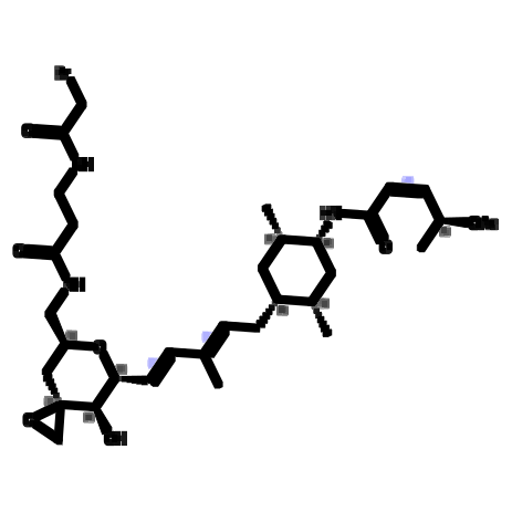 CC(=O)O[C@@H](C)/C=C\C(=O)N[C@@H]1C[C@H](C)[C@H](C/C=C(C)/C=C/[C@H]2O[C@H](CNC(=O)CCNC(=O)CBr)C[C@@]3(CO3)[C@@H]2O)C[C@@H]1C